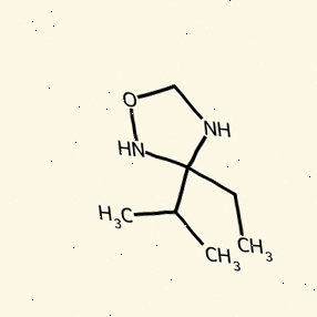 CCC1(C(C)C)NCON1